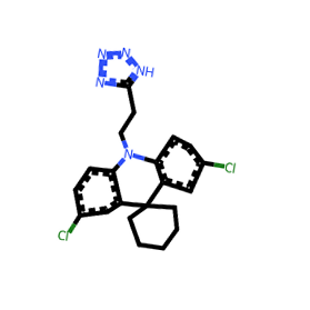 Clc1ccc2c(c1)C1(CCCCC1)c1cc(Cl)ccc1N2CCc1nnn[nH]1